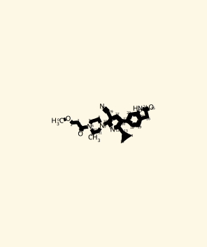 COCCC(=O)N1CCN(c2nc(C3CC3)c(-c3ccc4c(c3)NC(=O)C4)cc2C#N)C[C@H]1C